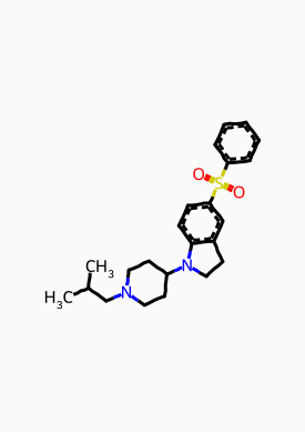 CC(C)CN1CCC(N2CCc3cc(S(=O)(=O)c4ccccc4)ccc32)CC1